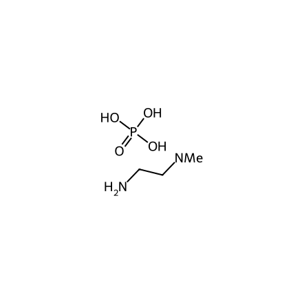 CNCCN.O=P(O)(O)O